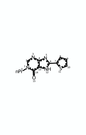 CCCn1cnc2nc(-c3cccs3)[nH]c2c1=O